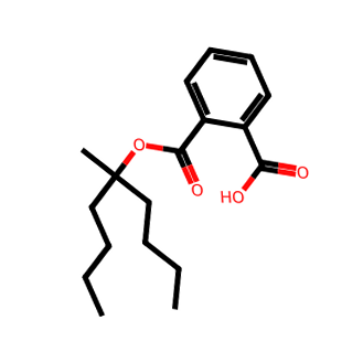 CCCCC(C)(CCCC)OC(=O)c1ccccc1C(=O)O